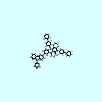 c1ccc(-c2ccc(-c3c4c(c(N(c5ccc(-c6ccccc6)cc5)c5ccc(-c6ccc7c(c6)c6ccccc6n7-c6ccccc6)cc5)c5c3CCCC5)CCCC4)cc2)cc1